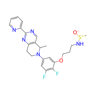 CC1c2cnc(-c3ccccn3)nc2CCN1c1cc(F)c(F)c(OCCCN[S+](C)[O-])c1